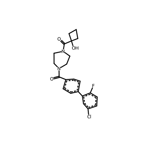 O=C(c1ccc(-c2cc(Cl)ccc2F)cc1)N1CCN(C(=O)C2(O)CCC2)CC1